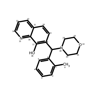 Cc1ccccc1C(c1ccc2cccnc2c1O)N1CCOCC1